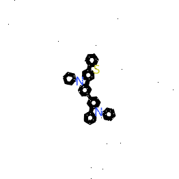 C1=CC(n2c3ccc(-c4ccc5c(c4)c4ccccc4n5-c4ccccc4)cc3c3cc4sc5ccccc5c4cc32)=CCC1